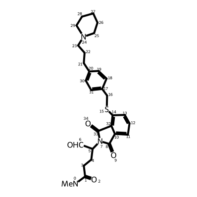 CNC(=O)CCC(C=O)N1C(=O)c2cccc(SCc3ccc(CCCN4CCCCC4)cc3)c2C1=O